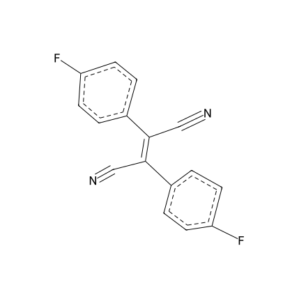 N#CC(=C(C#N)c1ccc(F)cc1)c1ccc(F)cc1